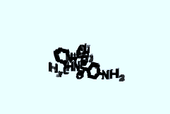 Cc1cccc[n+]1C(C)NS(=O)(=O)c1ccc(N)cc1.[Cl-]